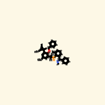 CCCC1C(C)C1(C)c1cc(C(C)(C)C)cc(C(CC)(CC)Pc2c(C)cccc2/C(=N/C)c2ccccc2)c1OCc1ccccc1